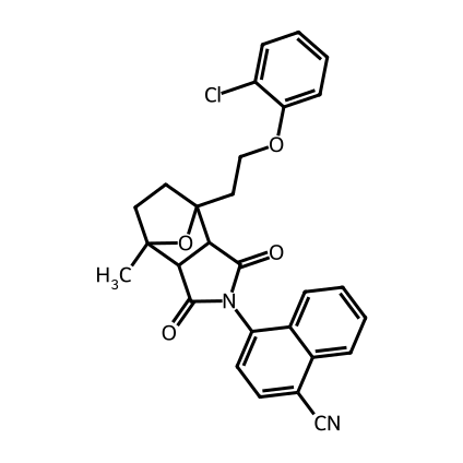 CC12CCC(CCOc3ccccc3Cl)(O1)C1C(=O)N(c3ccc(C#N)c4ccccc34)C(=O)C12